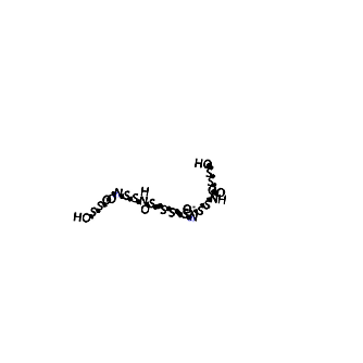 O=C(NCSCSC/N=C\[S+]([O-])CCSCSCCSC(=O)NCSCSC/N=C\OOCSCSCO)OCSCSCO